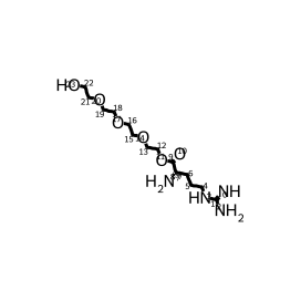 N=C(N)NCCC[C@H](N)C(=O)OCCOCCOCCOCCO